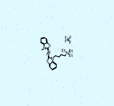 CC[N+](CC)(CC)CCCCn1c(=NN=c2sc3ccccc3n2C)sc2ccccc21.F[B-](F)(F)F